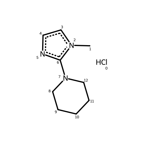 Cl.Cn1ccnc1N1CCCCC1